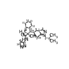 CC(C)Cn1ncc2cc(C(c3ccccc3)C(C)(C)C(=O)Nc3nncs3)ccc21